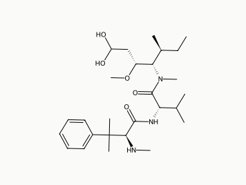 CC[C@H](C)[C@@H]([C@@H](CC(O)O)OC)N(C)C(=O)[C@@H](NC(=O)[C@@H](NC)C(C)(C)c1ccccc1)C(C)C